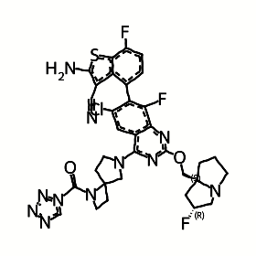 N#Cc1c(N)sc2c(F)ccc(-c3c(Cl)cc4c(N5CCC6(CCN6C(=O)n6cnnn6)C5)nc(OC[C@@]56CCCN5C[C@H](F)C6)nc4c3F)c12